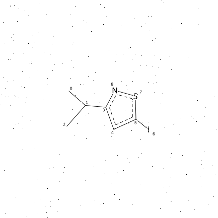 CC(C)c1cc(I)sn1